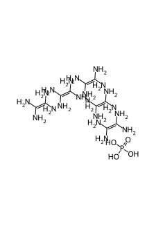 NC(N)=C(N)N.NC(N)=C(N)N.NC(N)=C(N)N.NC(N)=C(N)N.NC(N)=C(N)N.O=P(O)(O)O